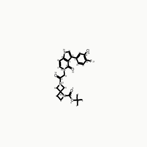 CC(C)(C)OC(=O)N1CCC12CN(C(=O)Cn1ccc3scc(-c4ccc(F)c(Cl)c4)c3c1=O)C2